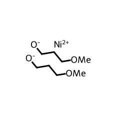 COCCC[O-].COCCC[O-].[Ni+2]